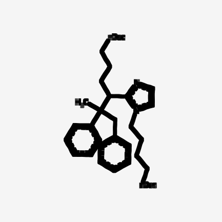 CCCCCCCCCCCCCCn1ccnc1C(CCCCCCCCCCCCC)C(C)(Cc1ccccc1)c1ccccc1